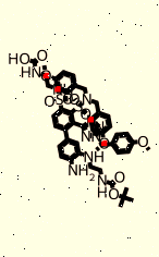 COc1ccc(CN(Cc2ccc(OC)cc2)S(=O)(=O)c2c(S(=O)(=O)NCCNC(=O)O)ccc(-c3ccc(N)c(NCCNC(=O)OC(C)(C)C)c3)c2-c2nnn(Cc3ccc(OC)cc3)n2)cc1